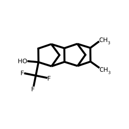 CC1C(C)C2CC1C1C3CC(C21)C(O)(C(F)(F)F)C3